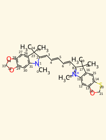 CN1\C(=C/C=C/C=C/C2=[N+](C)c3cc4c(cc3C2(C)C)SCO4)C(C)(C)c2cc3c(cc21)OCO3